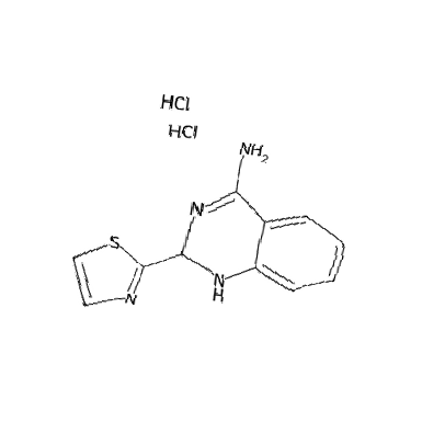 Cl.Cl.NC1=NC(c2nccs2)Nc2ccccc21